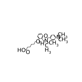 [2H]C(c1ccccc1OCCCCCC(=O)O)N(C(=O)c1ccc(N(C)C)cc1)C(C)C